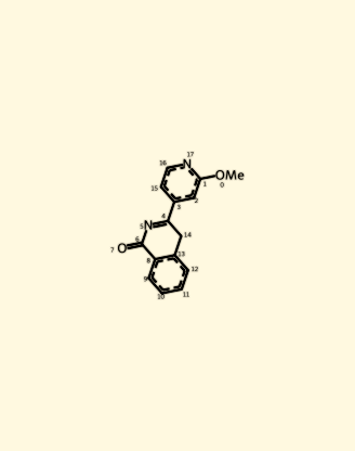 COc1cc(C2=NC(=O)c3ccccc3C2)ccn1